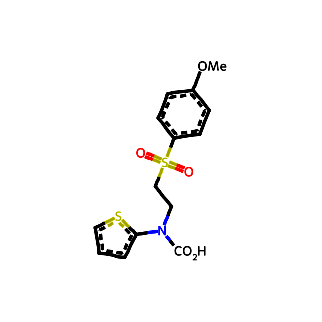 COc1ccc(S(=O)(=O)CCN(C(=O)O)c2cccs2)cc1